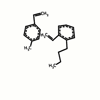 C=Cc1ccc(C)cc1.C=Cc1ccccc1CCCC